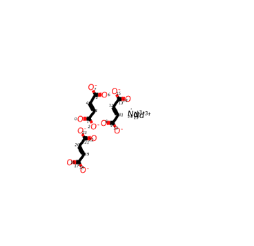 O=C([O-])C=CC(=O)[O-].O=C([O-])C=CC(=O)[O-].O=C([O-])C=CC(=O)[O-].[Nd+3].[Nd+3]